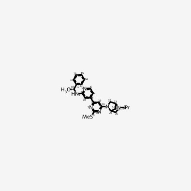 CSc1nc(-c2ccnc(N[C@@H](C)c3ccccc3)c2)cc(N2CC3CC2CN3C(C)C)n1